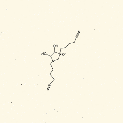 N#CCCCCN1C[N+]([O-])(CCCCC#N)C(O)C1O